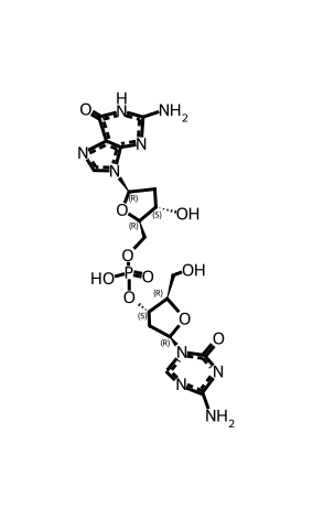 Nc1ncn([C@H]2C[C@H](OP(=O)(O)OC[C@H]3O[C@@H](n4cnc5c(=O)[nH]c(N)nc54)C[C@@H]3O)[C@@H](CO)O2)c(=O)n1